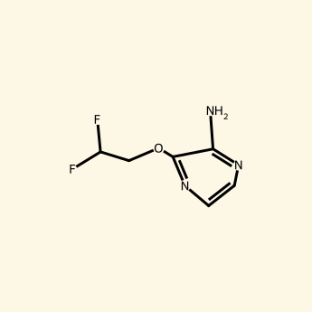 Nc1nccnc1OCC(F)F